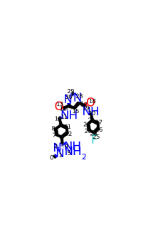 C=N/N=C(\NN)c1ccc(CNC(=O)c2cc(C(=O)NCc3ccc(F)cc3)ncn2)cc1